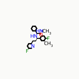 CNC(=O)C(N[C@H](CCc1ccc(F)cn1)c1ccc(F)c(C)c1)c1ccccc1